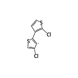 Clc1[c]c(-c2ccsc2Cl)sc1